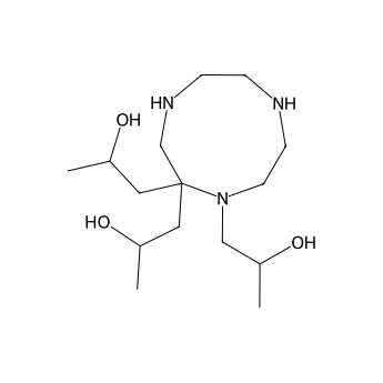 CC(O)CN1CCNCCNCC1(CC(C)O)CC(C)O